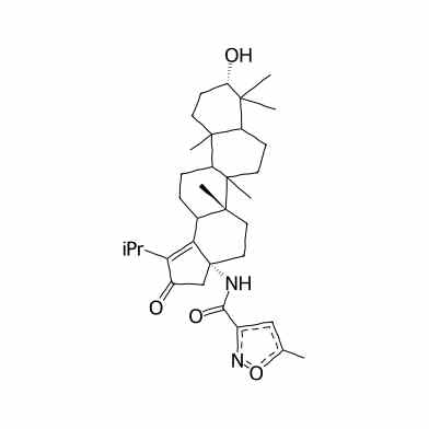 Cc1cc(C(=O)N[C@@]23CC[C@]4(C)C(CCC5C6(C)CC[C@H](O)C(C)(C)C6CCC54C)C2=C(C(C)C)C(=O)C3)no1